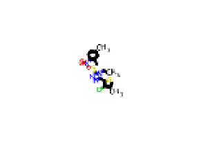 CCn1c(SCc2cc(C)ccc2[N+](=O)[O-])nnc1-c1scc(C)c1Cl